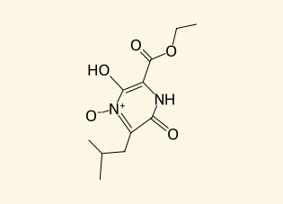 CCOC(=O)c1[nH]c(=O)c(CC(C)C)[n+]([O-])c1O